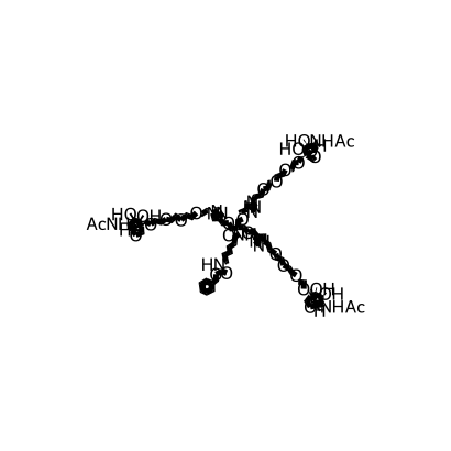 CC(=O)N[C@H]1[C@@H]2OC[C@](COCCOCCOCCOCCn3cc(COCC(COCc4cn(CCOCCOCCOCCOC[C@@]56CO[C@H](O5)[C@H](NC(C)=O)[C@@H](O)[C@H]6O)nn4)(COCc4cn(CCOCCOCCOCCOC[C@@]56CO[C@@H](O5)[C@H](NC(C)=O)[C@@H](O)[C@H]6O)nn4)NC(=O)CCCCCNC(=O)OCc4ccccc4)nn3)(O2)[C@H](O)[C@@H]1O